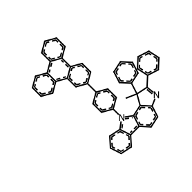 CC1(c2ccccc2)C(c2ccccc2)=Nc2ccc3c4ccccc4n(-c4ccc(-c5ccc6c7ccccc7c7ccccc7c6c5)cc4)c3c21